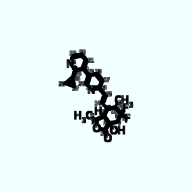 C[C@H]1OC(=O)[C@]2(O)CC(F)(F)[C@@H](C)[C@H](C=Cc3ccc(-c4cccnc4C4CC4)cn3)[C@H]12